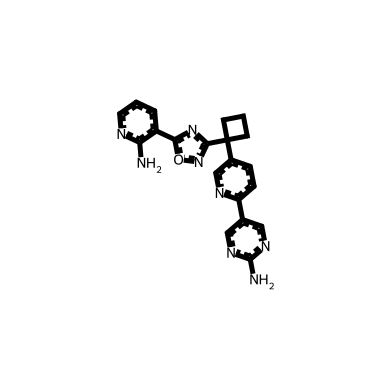 Nc1ncc(-c2ccc(C3(c4noc(-c5cccnc5N)n4)CCC3)cn2)cn1